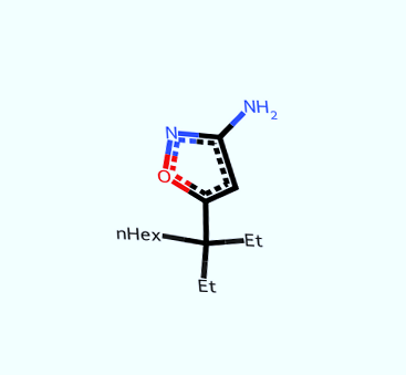 CCCCCCC(CC)(CC)c1cc(N)no1